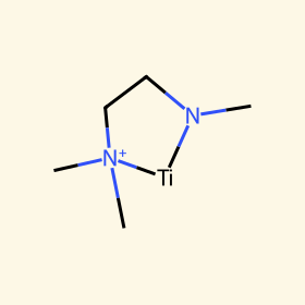 C[N]1CC[N+](C)(C)[Ti]1